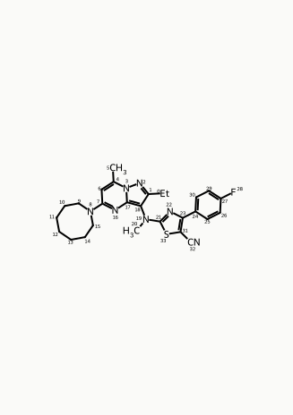 CCc1nn2c(C)cc(N3CCCCCCC3)nc2c1N(C)c1nc(-c2ccc(F)cc2)c(C#N)s1